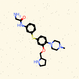 CN1CCN(c2ccc(Sc3cccc(NC(=O)CN)c3)cc2OCC2CCCN2)CC1